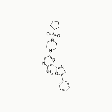 Nc1ncc(N2CCN(S(=O)(=O)C3CCCC3)CC2)nc1-c1nnc(-c2ccccc2)o1